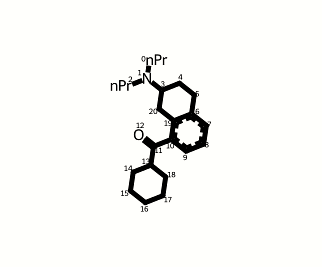 CCCN(CCC)C1CCc2cccc(C(=O)C3CCCCC3)c2C1